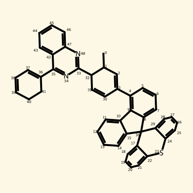 CC1C=C(c2cccc3c2-c2ccccc2C32c3ccccc3Sc3ccccc32)C=CC1c1nc(C2=CC=CCC2)c2ccccc2n1